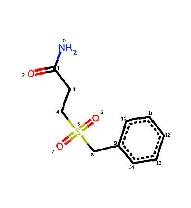 NC(=O)CCS(=O)(=O)Cc1ccccc1